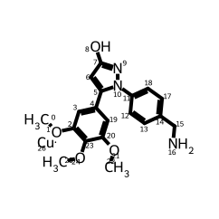 COc1cc(-c2cc(O)nn2-c2ccc(CN)cc2)cc(OC)c1OC.[Cu]